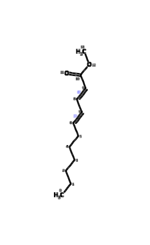 CCCCCC/C=C/C=C/C(=O)OC